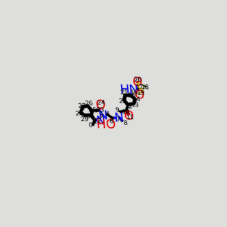 Cc1nn(CC(O)N(C)CC(=O)c2ccc(NS(C)(=O)=O)cc2)c(=O)c2ccccc12